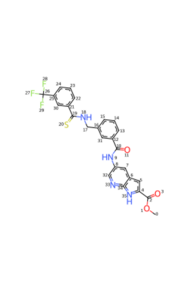 COC(=O)c1cc2cc(NC(=O)c3cccc(CNC(=S)c4cccc(C(F)(F)F)c4)c3)cnc2[nH]1